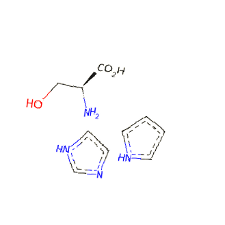 N[C@@H](CO)C(=O)O.c1c[nH]cn1.c1cc[nH]c1